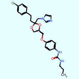 CCCNC(=O)Nc1ccc(OCC2COC(CCc3ccc(Cl)cc3)(Cn3ccnc3)O2)cc1